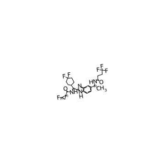 C[C@@H](NC(=O)CCC(F)(F)F)c1ccc2[nH]c([C@@H](NC(=O)[C@H]3C[C@H]3F)C3CCC(F)(F)CC3)nc2c1